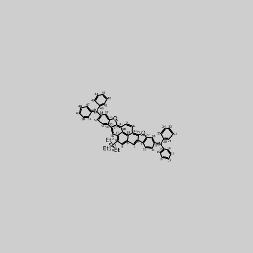 CC[Si](CC)(CC)c1cc2cc3c4ccc(N(c5ccccc5)c5ccccc5)cc4oc3c3ccc4c5oc6cc(N(c7ccccc7)c7ccccc7)ccc6c5cc1c4c23